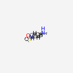 Cc1ccccc1SN1C(=O)CC[C@]2(C)[C@H]3CC[C@]4(C)[C@@H](NC5CC5)CC[C@H]4[C@@H]3CC[C@@H]12